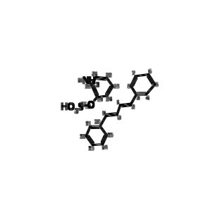 C(/C=C/c1ccccc1)=C\c1ccccc1.N.O=S(=O)(O)Oc1ccccc1